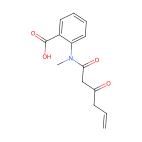 C=CCC(=O)CC(=O)N(C)c1ccccc1C(=O)O